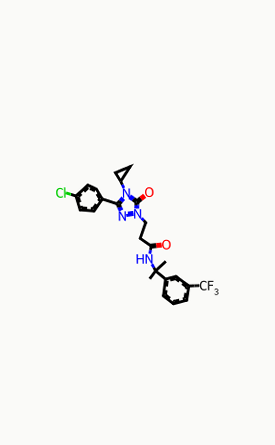 CC(C)(NC(=O)CCn1nc(-c2ccc(Cl)cc2)n(C2CC2)c1=O)c1cccc(C(F)(F)F)c1